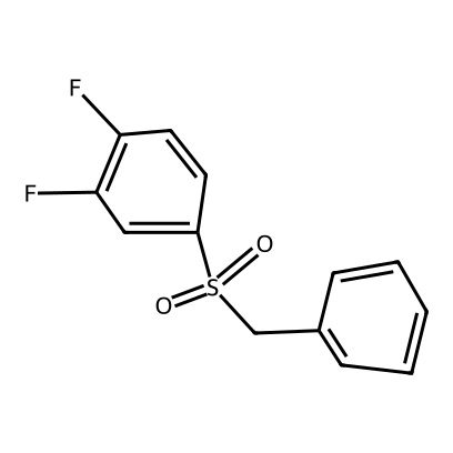 O=S(=O)(Cc1ccccc1)c1ccc(F)c(F)c1